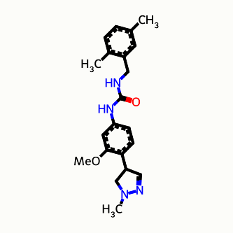 COc1cc(NC(=O)NCc2cc(C)ccc2C)ccc1C1C=NN(C)C1